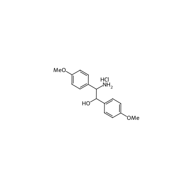 COc1ccc(C(N)C(O)c2ccc(OC)cc2)cc1.Cl